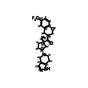 CC(C)[C@]1(C(=O)N2COc3ccc(C(F)(F)F)cc3C2)CC[C@@H](N2CCc3[nH]ncc3C2)C1